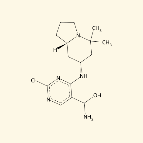 CC1(C)C[C@H](Nc2nc(Cl)ncc2C(N)O)C[C@@H]2CCCN21